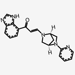 O=C(/C=C/N1C[C@H]2C[C@@H]1CN2c1ccccn1)c1cccc2nc[nH]c12